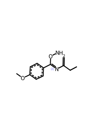 C=C(CC)/N=C(\ON)c1ccc(OC)cc1